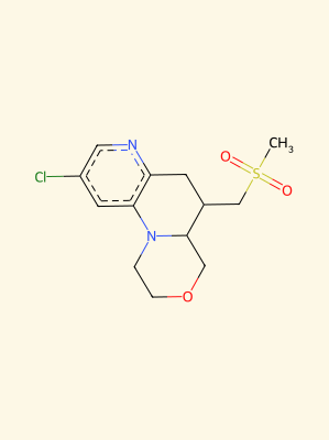 CS(=O)(=O)CC1Cc2ncc(Cl)cc2N2CCOCC12